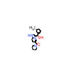 Cc1cccc(C(O)C2=CNC3C=CC(C(=O)N4CCCCC4)=CN23)c1